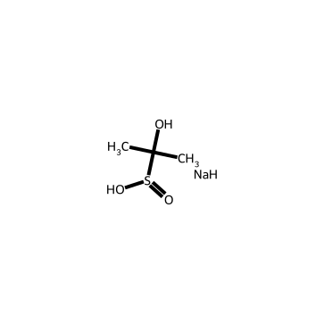 CC(C)(O)S(=O)O.[NaH]